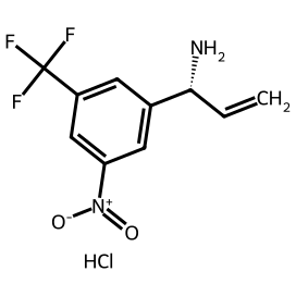 C=C[C@@H](N)c1cc([N+](=O)[O-])cc(C(F)(F)F)c1.Cl